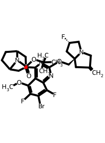 C=C1CN2C[C@@H](F)C[C@@]2(COc2nc(N3CC4CCC(C3)N4C(=O)OC(C)(C)C)c3c(OC)c(F)c(Br)c(F)c3n2)C1